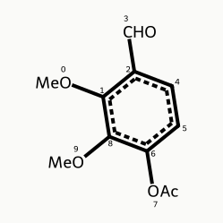 COc1c(C=O)ccc(OC(C)=O)c1OC